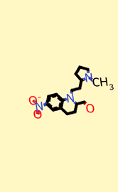 CN1CCCC1CCN1c2ccc([N+](=O)[O-])cc2CCC1C=O